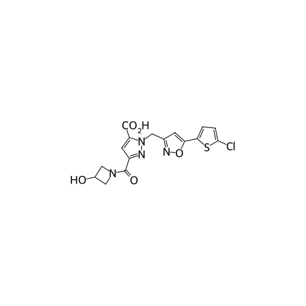 O=C(O)c1cc(C(=O)N2CC(O)C2)nn1Cc1cc(-c2ccc(Cl)s2)on1